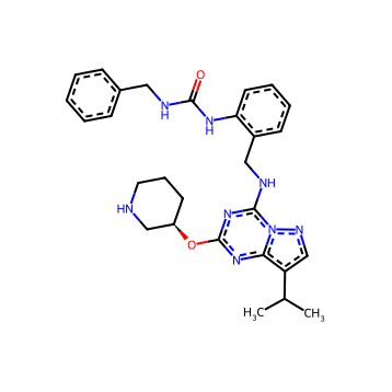 CC(C)c1cnn2c(NCc3ccccc3NC(=O)NCc3ccccc3)nc(O[C@@H]3CCCNC3)nc12